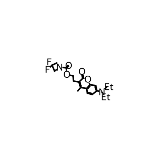 CCN(CC)c1ccc2c(C)c(CCOC(=O)N3CC(F)(F)C3)c(=O)oc2c1